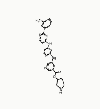 Cc1cccc(-c2nccc(Nc3ccnc(Nc4cncc(C(=O)OC5CCNC5)c4)n3)n2)n1